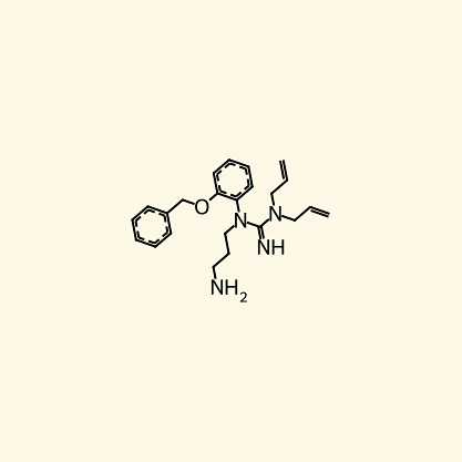 C=CCN(CC=C)C(=N)N(CCCN)c1ccccc1OCc1ccccc1